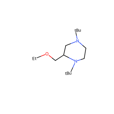 CCOCC1CN(C(C)(C)C)CCN1C(C)(C)C